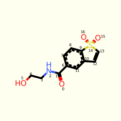 O=C(NCCO)c1ccc2c(c1)C=CS2(=O)=O